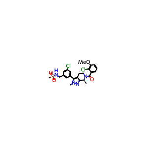 COc1cccc(C(=O)N2CCc3c(nn(C)c3-c3cc(Cl)cc(CNS(C)(=O)=O)c3)[C@@H]2C)c1Cl